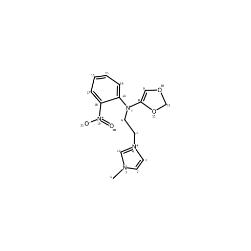 Cn1cc[n+](CCN(C2=COCO2)c2ccccc2[N+](=O)[O-])c1